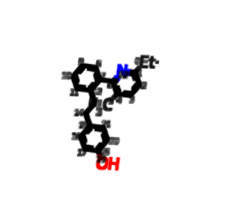 C[CH]c1ccc(C(F)(F)F)c(-c2ccccc2CCc2ccc(O)cc2)n1